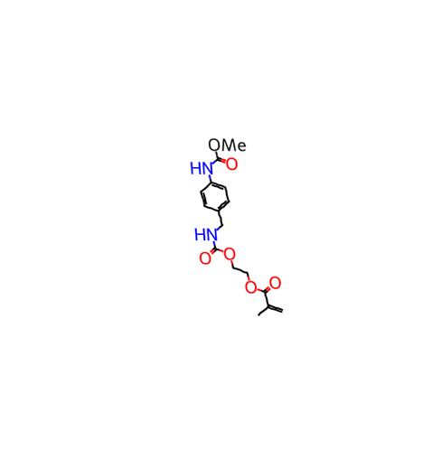 C=C(C)C(=O)OCCOC(=O)NCc1ccc(NC(=O)OC)cc1